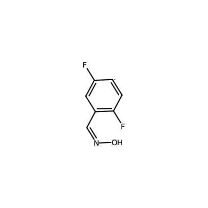 O/N=C\c1cc(F)[c]cc1F